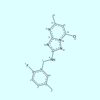 Cc1ccc(F)c(CNc2nc3nc(C)cc(Cl)n3n2)c1